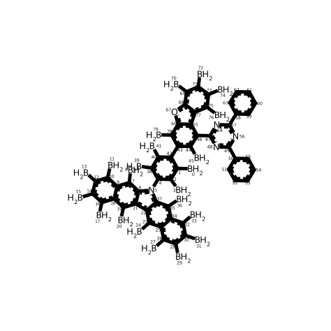 Bc1c(B)c(-n2c3c(B)c4c(B)c(B)c(B)c(B)c4c(B)c3c3c(B)c4c(B)c(B)c(B)c(B)c4c(B)c32)c(B)c(B)c1-c1c(B)c(-c2nc(-c3ccccc3)nc(-c3ccccc3)n2)c2c(oc3c(B)c(B)c(B)c(B)c32)c1B